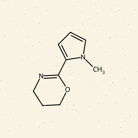 Cn1cccc1C1=NCCCO1